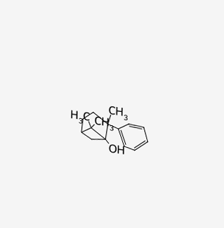 CC1(c2ccccc2)CCC2CC1(O)C2(C)C